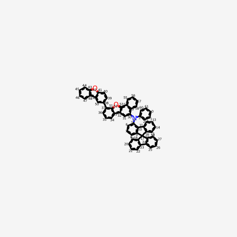 c1ccc(N(c2cccc3c2-c2ccccc2C32c3ccccc3-c3ccccc32)c2cc3c4cccc(-c5ccc6oc7ccccc7c6c5)c4oc3c3ccccc23)cc1